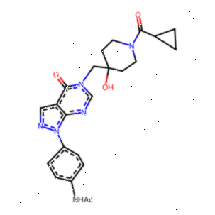 CC(=O)Nc1ccc(-n2ncc3c(=O)n(CC4(O)CCN(C(=O)C5CC5)CC4)cnc32)cc1